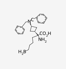 BCCCCC(N)(C(=O)O)[C@H]1C[C@@H](N(Cc2ccccc2)Cc2ccccc2)C1